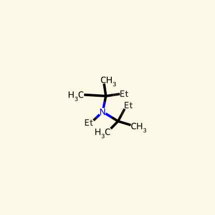 CCN(C(C)(C)CC)C(C)(C)CC